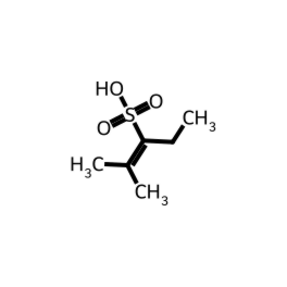 CCC(=C(C)C)S(=O)(=O)O